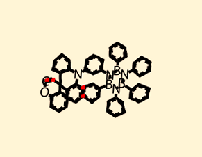 c1ccc(B2N(c3ccccc3)B(c3ccccc3)N(c3cccc(N4c5ccccc5C5(c6ccccc6Oc6ccccc65)c5ccccc54)c3)B(c3ccccc3)N2c2ccccc2)cc1